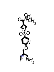 CN(C)C(=O)C1CN(S(=O)(=O)c2ccc(OC/C(=C/F)CN)nc2)C1